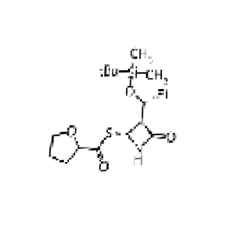 CC[C@@H](O[Si](C)(C)C(C)(C)C)[C@H]1C(=O)N[C@@H]1SC(=O)[C@H]1CCCO1